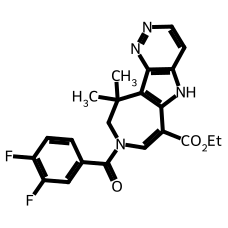 CCOC(=O)C1=CN(C(=O)c2ccc(F)c(F)c2)CC(C)(C)c2c1[nH]c1ccnnc21